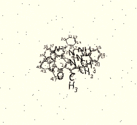 Cc1c2c(n(C3=NC(C4=CCCC=C4)NC(c4ccccc4)N3C)c1C)-c1ccncc1C(c1ccccc1)(C1CC=CCC1)C1CCOC21